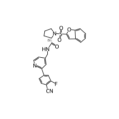 N#Cc1ccc(-c2cc(CNC(=O)[C@@H]3CCCN3S(=O)(=O)c3cc4ccccc4o3)ccn2)cc1F